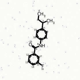 CCC(C)c1ccc(NC(=O)c2cccc(F)c2)cc1